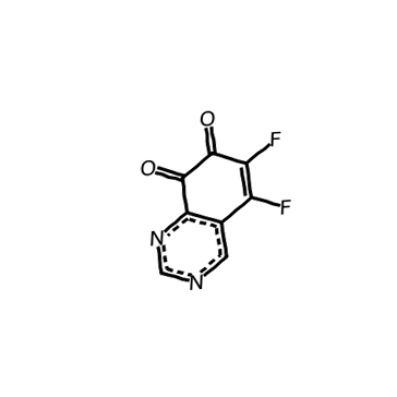 O=C1C(=O)c2ncncc2C(F)=C1F